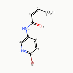 O=C(O)/C=C\C(=O)Nc1ccc(Br)nc1